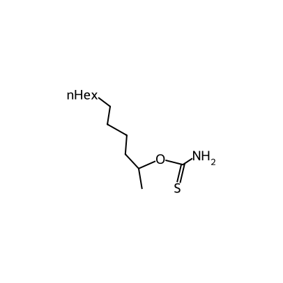 CCCCCCCCCCC(C)OC(N)=S